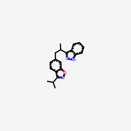 CC(C)c1noc2cc(CC(C)c3n[nH]c4ccccc34)ccc12